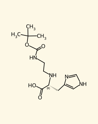 CC(C)(C)OC(=O)NCCN[C@H](Cc1c[nH]cn1)C(=O)O